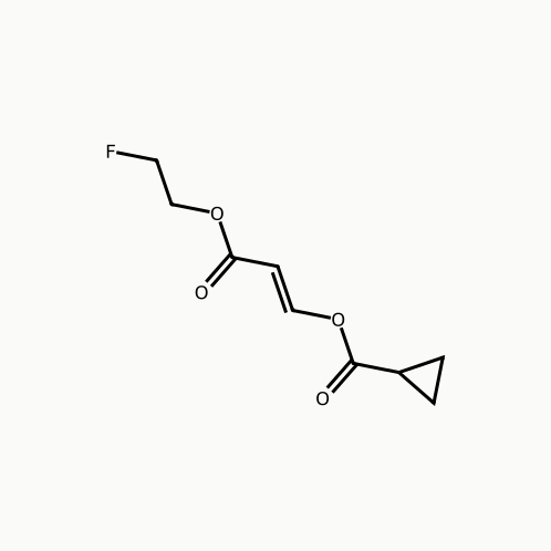 O=C(C=COC(=O)C1CC1)OCCF